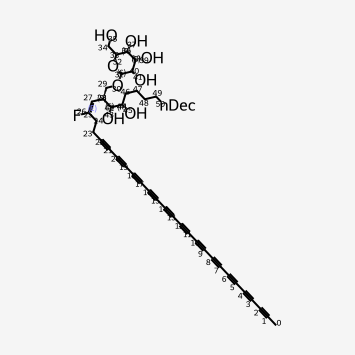 CC#CC#CC#CC#CC#CC#CC#CC#CC#CC#CC#CCC/C(F)=C\[C@@H](CO[C@H]1OC(CO)[C@H](O)[C@H](O)C1O)[C@H](O)[C@H](O)CCCCCCCCCCCCCC